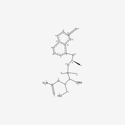 COC(C(CO)OC(N)=O)C(C)(C)O[C@H](C)Oc1cccc2ccc(=O)oc12